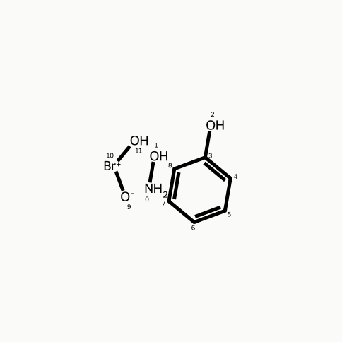 NO.Oc1ccccc1.[O-][Br+]O